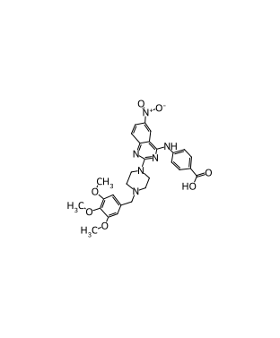 COc1cc(CN2CCN(c3nc(Nc4ccc(C(=O)O)cc4)c4cc([N+](=O)[O-])ccc4n3)CC2)cc(OC)c1OC